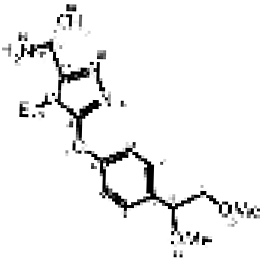 CCn1c(Oc2ccc(C(COC)OC)cc2)nnc1[C@@H](C)N